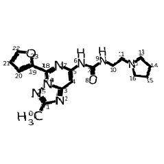 Cc1nc2cc(NC(=O)NCCN3CCCC3)nc(-c3ccco3)n2n1